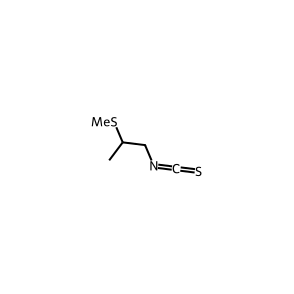 CSC(C)CN=C=S